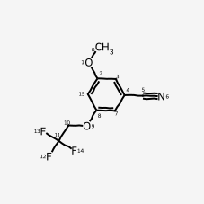 COc1cc(C#N)cc(OCC(F)(F)F)c1